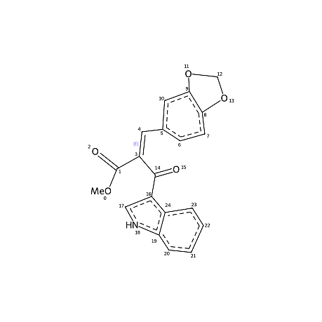 COC(=O)/C(=C/c1ccc2c(c1)OCO2)C(=O)c1c[nH]c2ccccc12